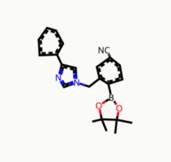 CC1(C)OB(c2ccc(C#N)cc2Cn2cnc(-c3ccccc3)c2)OC1(C)C